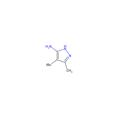 Cc1n[nH]c(N)c1C(C)(C)C